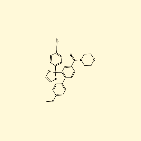 COc1ccc(-c2ccc(C(=O)N3CCOCC3)cc2C2(c3ccc(C#N)cc3)OC=CO2)cc1